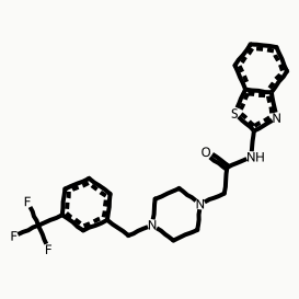 O=C(CN1CCN(Cc2cccc(C(F)(F)F)c2)CC1)Nc1nc2ccccc2s1